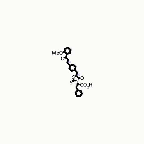 COc1ccccc1C(=O)/C=C/c1ccc(/C=C2\SC(=S)N([C@@H](Cc3ccccc3)C(=O)O)C2=O)cc1